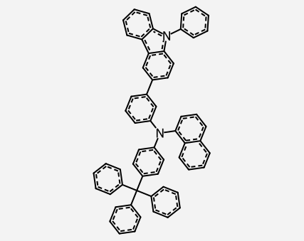 c1ccc(-n2c3ccccc3c3cc(-c4cccc(N(c5ccc(C(c6ccccc6)(c6ccccc6)c6ccccc6)cc5)c5cccc6ccccc56)c4)ccc32)cc1